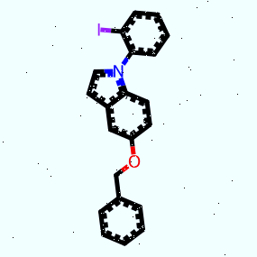 Ic1ccccc1-n1ccc2cc(OCc3ccccc3)ccc21